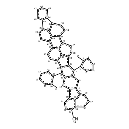 Cc1ccccc1-c1c2cc3c(cc2c(-c2ccccc2C)c2c4ccc5c6ccc7c8c(ccc(c9ccc(c12)c4c95)c86)-c1ccccc1-7)c1ccc(C#N)c2cccc3c21